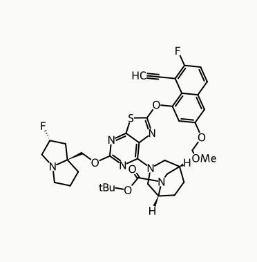 C#Cc1c(F)ccc2cc(OCOC)cc(Oc3nc4c(N5C[C@@H]6CC[C@H](C5)N(C(=O)OC(C)(C)C)C6)nc(OC[C@@]56CCCN5C[C@H](F)C6)nc4s3)c12